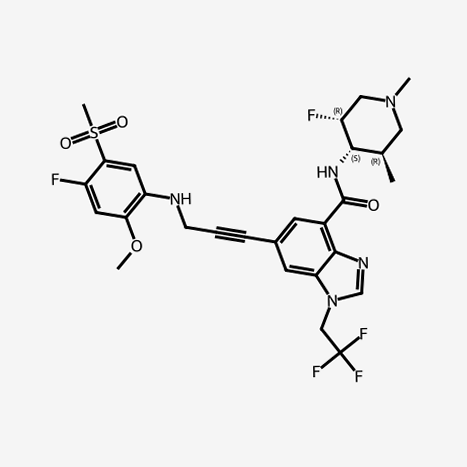 COc1cc(F)c(S(C)(=O)=O)cc1NCC#Cc1cc(C(=O)N[C@H]2[C@H](C)CN(C)C[C@H]2F)c2ncn(CC(F)(F)F)c2c1